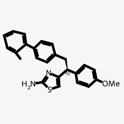 COc1ccc([C@H](Cc2ccc(-c3ccccc3C)cc2)c2csc(N)n2)cc1